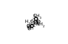 Cc1ccc(S(N)(=O)=O)c(C(C)Cc2ccc3c(c2)OCO3)c1